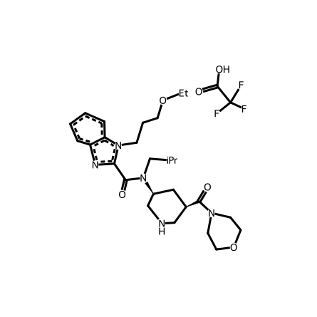 CCOCCCn1c(C(=O)N(CC(C)C)[C@@H]2CNC[C@H](C(=O)N3CCOCC3)C2)nc2ccccc21.O=C(O)C(F)(F)F